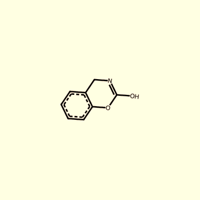 OC1=NCc2ccccc2O1